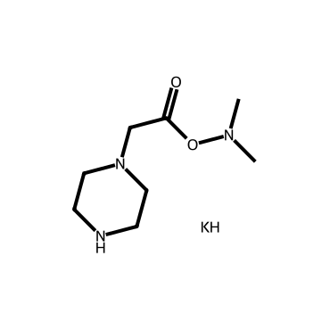 CN(C)OC(=O)CN1CCNCC1.[KH]